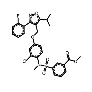 COC(=O)c1cccc(S(=O)(=O)N(C)c2ccc(OCc3c(-c4ccccc4F)noc3C(C)C)cc2Cl)c1